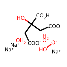 O.O.O=C([O-])CC(O)(CC(=O)[O-])C(=O)O.[Na+].[Na+].[Na+].[O-]O